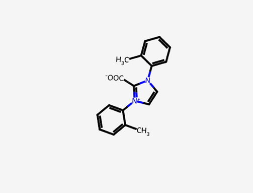 Cc1ccccc1-n1cc[n+](-c2ccccc2C)c1C(=O)[O-]